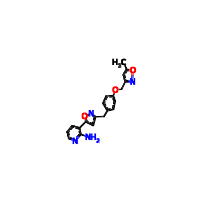 Cc1cc(COc2ccc(Cc3cc(-c4cccnc4N)on3)cc2)no1